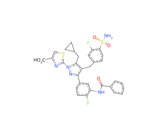 NS(=O)(=O)c1ccc(Cc2c(-c3ccc(F)c(NC(=O)c4ccccc4)c3)nn(-c3nc(C(=O)O)cs3)c2CC2CC2)cc1F